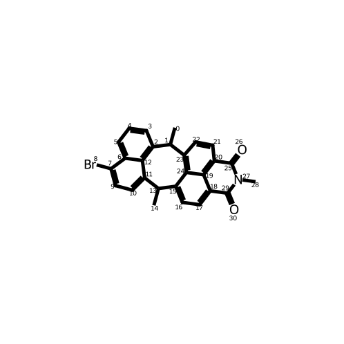 CC1c2cccc3c(Br)ccc(c23)C(C)c2ccc3c4c(ccc1c24)C(=O)N(C)C3=O